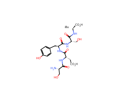 CC[C@H](C)[C@H](NC(=O)[C@H](CO)NC(=O)[C@H](Cc1ccc(O)cc1)NC(=O)[C@H](CC(=O)O)NC(=O)[C@@H](N)CO)C(=O)O